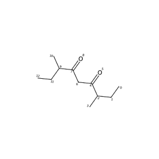 CCC(C)C(=O)CC(=O)C(C)CC